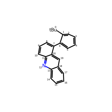 CC(C)(C)c1ccccc1-c1cccc2nc3ccccc3cc12